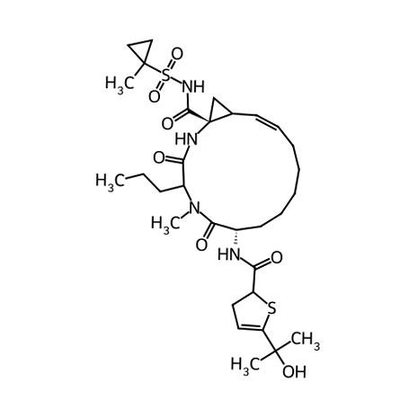 CCCC1C(=O)N[C@]2(C(=O)NS(=O)(=O)C3(C)CC3)CC2/C=C\CCCCC[C@H](NC(=O)C2CC=C(C(C)(C)O)S2)C(=O)N1C